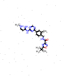 CN/C=C\C(=N)Nc1ncnc(-c2ccc(CNC(=O)c3noc(C(C)(C)C)n3)c(C)c2)n1